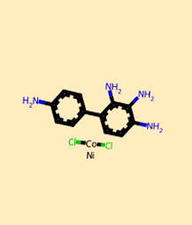 Nc1ccc(-c2ccc(N)c(N)c2N)cc1.[Cl][Co][Cl].[Ni]